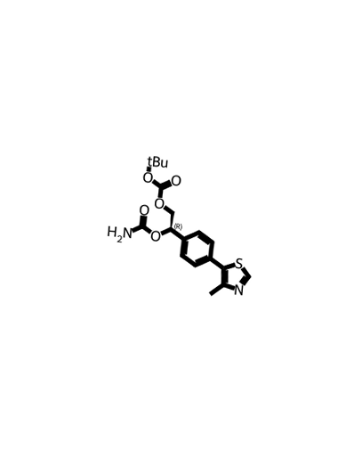 Cc1ncsc1-c1ccc([C@H](COC(=O)OC(C)(C)C)OC(N)=O)cc1